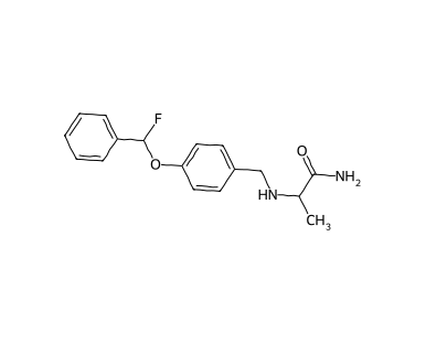 CC(NCc1ccc(OC(F)c2ccccc2)cc1)C(N)=O